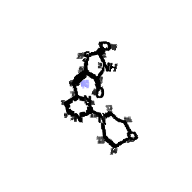 O=C1NC(=O)/C(=C\c2ccnc(N3CCOCC3)n2)S1